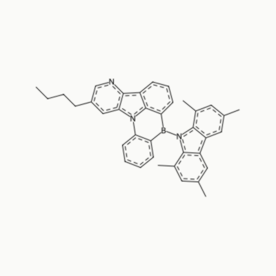 CCCCc1cnc2c3cccc4c3n(c2c1)-c1ccccc1B4n1c2c(C)cc(C)cc2c2cc(C)cc(C)c21